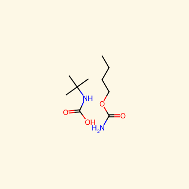 CC(C)(C)NC(=O)O.CCCCOC(N)=O